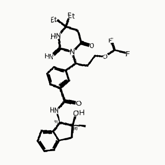 CCC1(CC)CC(=O)N(C(CCOC(F)F)c2cccc(C(=O)N[C@@H]3c4ccccc4C[C@@]3(C)O)c2)C(=N)N1